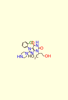 O=C(O)C(CCO)n1c(=O)[nH]c(=O)c2c1nc(N1CCNCC1)n2-c1ccccc1Cl